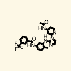 CC(=O)Nc1ccnc(-n2ccnc2Nc2cc(NC(=O)c3cccc(C(F)(F)F)c3)ccc2C)c1